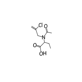 C=C(Cl)CN(C(C)=O)C(CC)C(=O)O